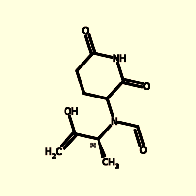 C=C(O)[C@H](C)N(C=O)C1CCC(=O)NC1=O